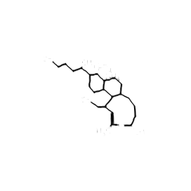 C/C1=C\C(CC(C)C)C2C(CCC[C@H](S)C1)CC[C@@]1(C)C2CCC([C@H](C)CCCC(C)C)[C@@H]1C